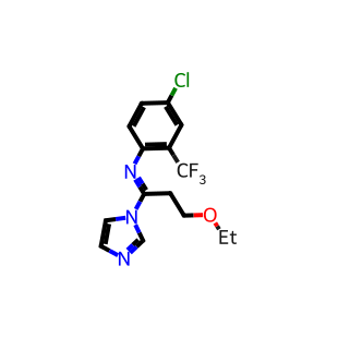 CCOCCC(=Nc1ccc(Cl)cc1C(F)(F)F)n1ccnc1